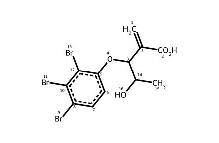 C=C(C(=O)O)C(Oc1ccc(Br)c(Br)c1Br)C(C)O